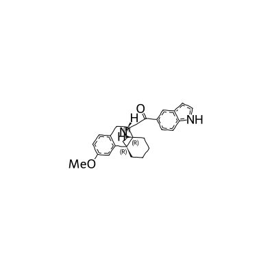 COc1ccc2c(c1)[C@@]13CCCC[C@H]1[C@@H](C2)N(C(=O)c1ccc2[nH]ccc2c1)CC3